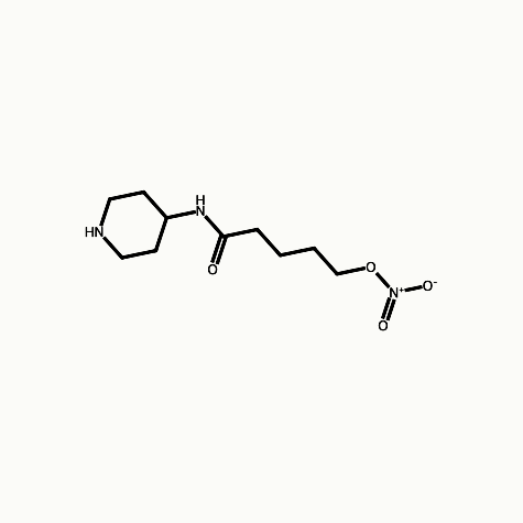 O=C(CCCCO[N+](=O)[O-])NC1CCNCC1